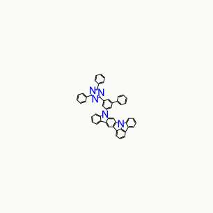 c1ccc(-c2cc(-c3nc(-c4ccccc4)nc(-c4ccccc4)n3)cc(-n3c4ccccc4c4cc5c6cccc7c8ccccc8n(c5cc43)c76)c2)cc1